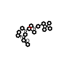 c1ccc(N(c2cccc(-c3ccccc3N(c3ccccc3)c3ccc(-c4cccc5c4-c4ccccc4C5(c4ccccc4)c4ccccc4)cc3)c2)c2ccc3c4c5oc6ccccc6c5ccc4n(-c4cccc5ccccc45)c3c2)cc1